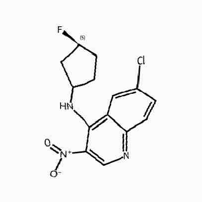 O=[N+]([O-])c1cnc2ccc(Cl)cc2c1NC1CC[C@H](F)C1